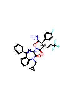 NC(=O)[C@@H](c1ccc(F)cc1)[C@@H](CCC(F)(F)F)C(=O)NC1N=C(c2ccccc2)c2ccccc2N(CC2CC2)C1=O